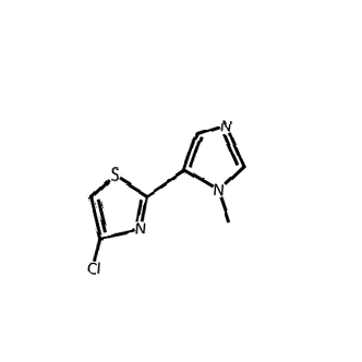 Cn1cncc1-c1nc(Cl)cs1